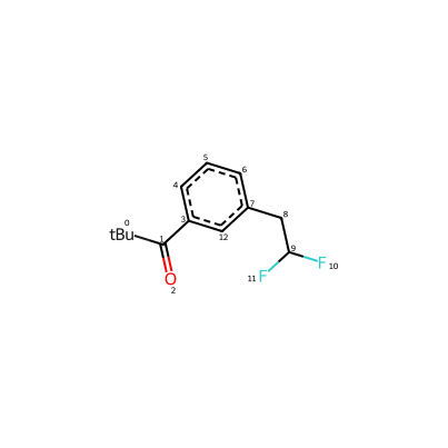 CC(C)(C)C(=O)c1cccc(CC(F)F)c1